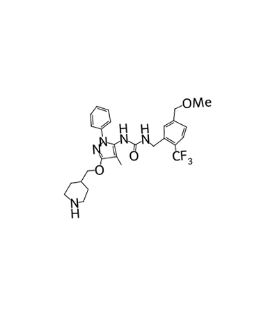 COCc1ccc(C(F)(F)F)c(CNC(=O)Nc2c(C)c(OCC3CCNCC3)nn2-c2ccccc2)c1